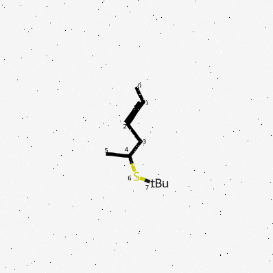 CC=CCC(C)SC(C)(C)C